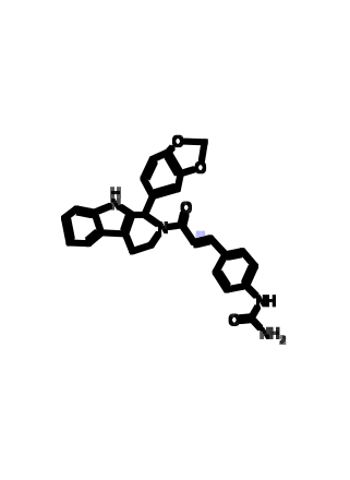 NC(=O)Nc1ccc(/C=C/C(=O)N2CCc3c([nH]c4ccccc34)C2c2ccc3c(c2)OCO3)cc1